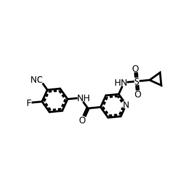 N#Cc1cc(NC(=O)c2ccnc(NS(=O)(=O)C3CC3)c2)ccc1F